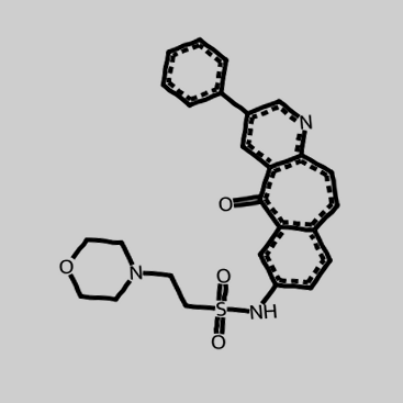 O=c1c2cc(NS(=O)(=O)CCN3CCOCC3)ccc2ccc2ncc(-c3ccccc3)cc12